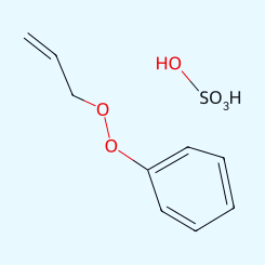 C=CCOOc1ccccc1.O=S(=O)(O)O